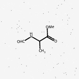 COC(=O)C(C)NC=O